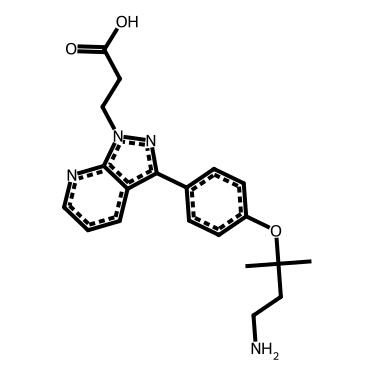 CC(C)(CCN)Oc1ccc(-c2nn(CCC(=O)O)c3ncccc23)cc1